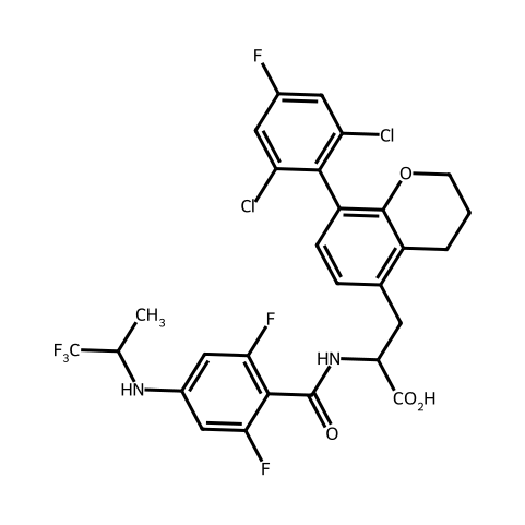 CC(Nc1cc(F)c(C(=O)NC(Cc2ccc(-c3c(Cl)cc(F)cc3Cl)c3c2CCCO3)C(=O)O)c(F)c1)C(F)(F)F